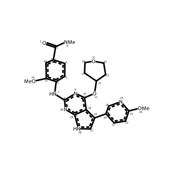 CNC(=O)c1ccc(Nc2nc(OC3CCOCC3)c3c(-c4ccc(OC)nc4)c[nH]c3n2)c(OC)c1